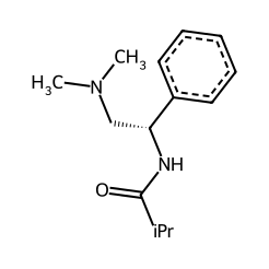 CC(C)C(=O)N[C@H](CN(C)C)c1ccccc1